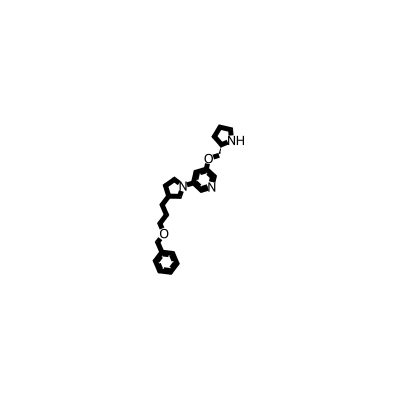 c1ccc(COCCCC2CCN(c3cncc(OC[C@@H]4CCCN4)c3)C2)cc1